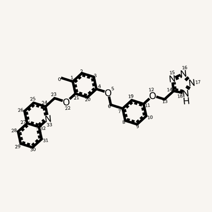 Cc1ccc(OCc2cccc(OCc3nnn[nH]3)c2)cc1OCc1ccc2ccccc2n1